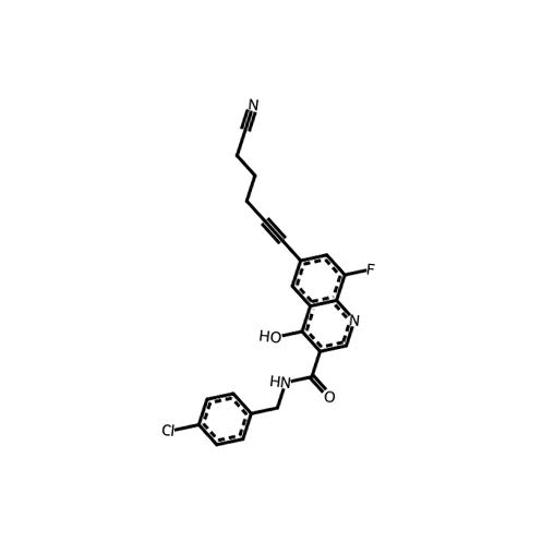 N#CCCCC#Cc1cc(F)c2ncc(C(=O)NCc3ccc(Cl)cc3)c(O)c2c1